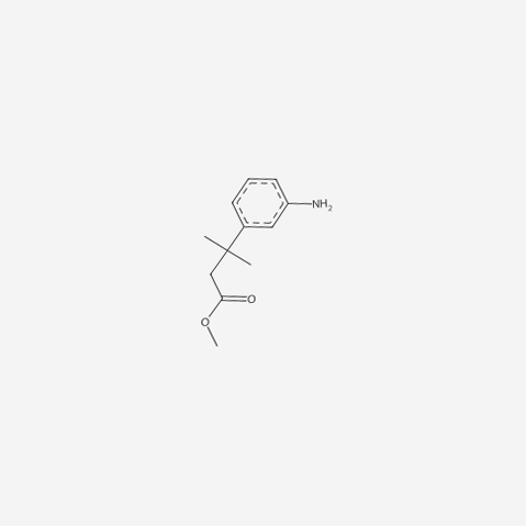 COC(=O)CC(C)(C)c1cccc(N)c1